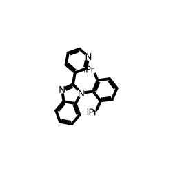 CC(C)c1cccc(C(C)C)c1-n1c(-c2cccnc2)nc2ccccc21